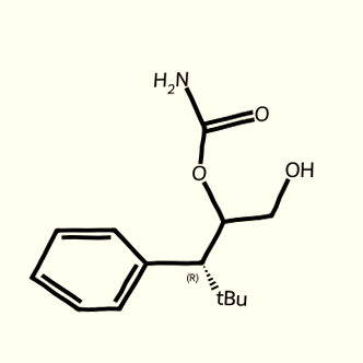 CC(C)(C)[C@H](c1ccccc1)C(CO)OC(N)=O